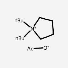 CC(=O)[O-].CCCC[N+]1(CCCC)CCCC1